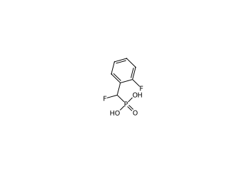 O=P(O)(O)C(F)c1ccccc1F